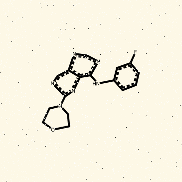 Fc1cccc(Nc2ncnc3cnc(N4CCOCC4)nc23)c1